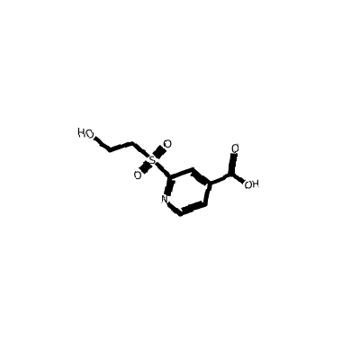 O=C(O)c1ccnc(S(=O)(=O)CCO)c1